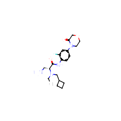 CCN(CC1CCC1)[C@@H](CN)C(=O)Nc1ccc(N2CCOCC2=O)cc1F